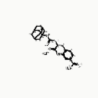 COC(=O)[C@H](Cc1ccc(C(=N)N)cc1)NC(=O)OC12CC3CC(CC(C3)C1)C2.Cl